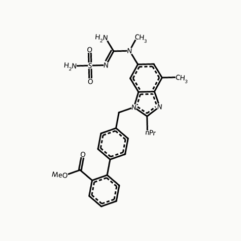 CCCc1nc2c(C)cc(N(C)C(N)=NS(N)(=O)=O)cc2n1Cc1ccc(-c2ccccc2C(=O)OC)cc1